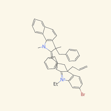 C=CCC1(Cc2ccccc2)C(/C=C/C=C2/N(C)c3c(ccc4ccccc34)C2(C)Cc2ccccc2)=[N+](CC)c2cc(Br)ccc21